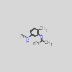 CCC/C(C)=N\c1cc(NC(C)C)ccc1C